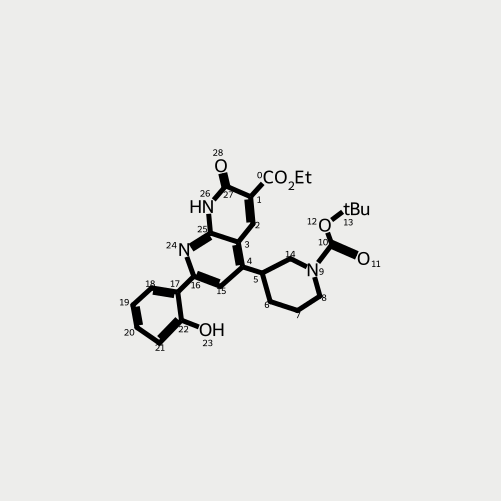 CCOC(=O)c1cc2c(C3CCCN(C(=O)OC(C)(C)C)C3)cc(-c3ccccc3O)nc2[nH]c1=O